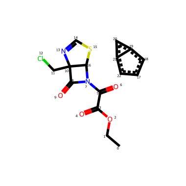 CCOC(=O)C(=O)N1C(=O)C2(CCl)N=CSC12.c1cc2cc-2c1